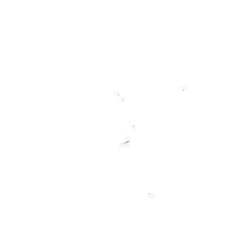 CCC[C@H]1C(O)=C(C#N)C[C@@]2(C)c3nc(-c4ccnc(C5CC5)c4)nc(-c4ccccc4F)c3CC[C@H]12